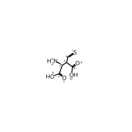 N[C@H](C(=O)O)C(C=S)C(=O)O